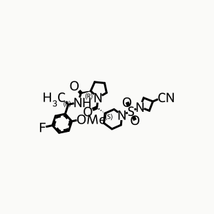 COc1ccc(F)cc1[C@@H](C)NC(=O)[C@H]1CCCN1C(=O)[C@H]1CCCN(S(=O)(=O)N2CC(C#N)C2)C1